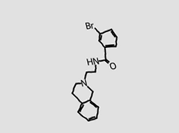 O=C(NCCN1CCc2ccccc2C1)c1cccc(Br)c1